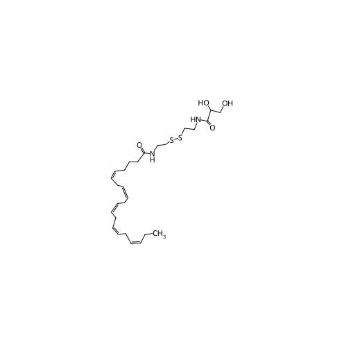 CC/C=C\C/C=C\C/C=C\C/C=C\C/C=C\CCCC(=O)NCCSSCCNC(=O)C(O)CO